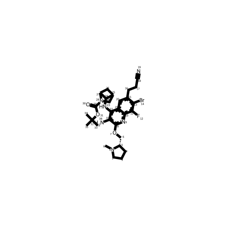 CN1CCC[C@H]1COc1nc2c(F)c(Br)c(CCC#N)cc2c(NC2C3CC2N(C(=O)OC(C)(C)C)C3)c1N